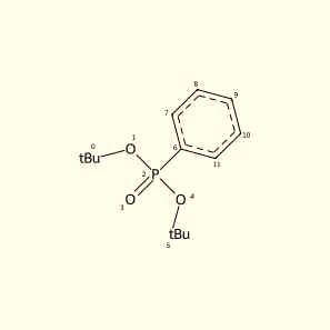 CC(C)(C)OP(=O)(OC(C)(C)C)c1ccccc1